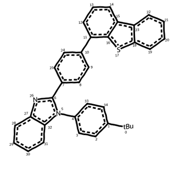 CC(C)(C)c1ccc(-n2c(-c3ccc(-c4cccc5c4sc4ccccc45)cc3)nc3ccccc32)cc1